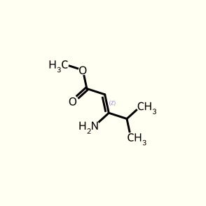 COC(=O)/C=C(\N)C(C)C